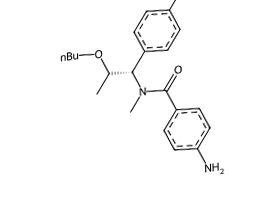 CCCCOC(C)[C@H](c1ccc(C)cc1)N(C)C(=O)c1ccc(N)cc1